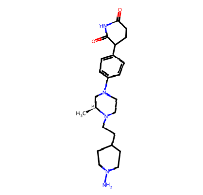 C[C@H]1CN(c2ccc(C3CCC(=O)NC3=O)cc2)CCN1CCC1CCN(N)CC1